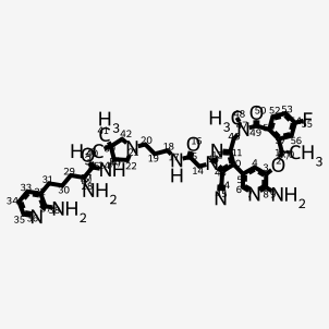 C[C@H]1Oc2cc(cnc2N)-c2c(nn(CC(=O)NCCCN3C[C@H](NC(=O)[C@@H](N)CCCc4cccnc4N)C(C)(C)C3)c2C#N)CN(C)C(=O)c2ccc(F)cc21